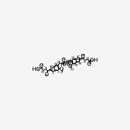 COc1cc2cc(C(=O)CCC(=O)O)sc2cc1CNC(=O)NCc1cc2sc(C(=O)CCC(=O)O)cc2cc1OC